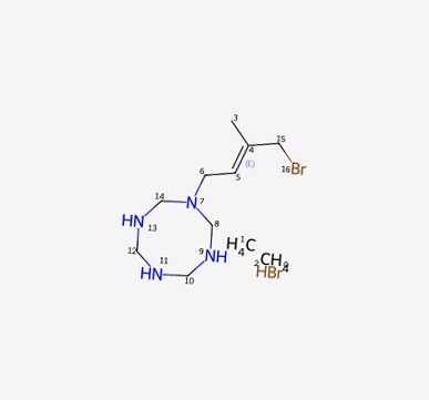 Br.C.C.C/C(=C\CN1CNCNCNC1)CBr